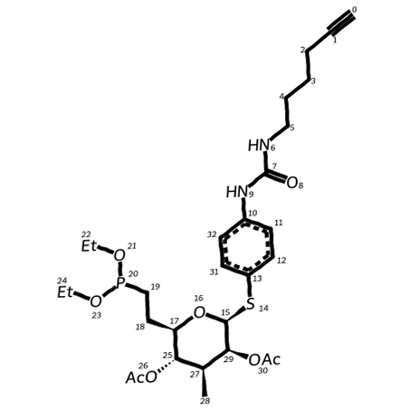 C#CCCCCNC(=O)Nc1ccc(S[C@@H]2O[C@H](CCP(OCC)OCC)[C@@H](OC(C)=O)[C@H](C)[C@@H]2OC(C)=O)cc1